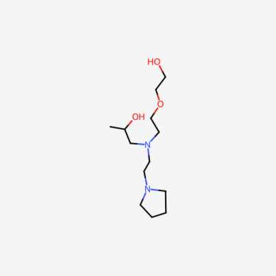 CC(O)CN(CCOCCO)CCN1CCCC1